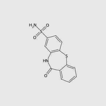 NS(=O)(=O)c1ccc2c(c1)NC(=O)c1ccccc1S2